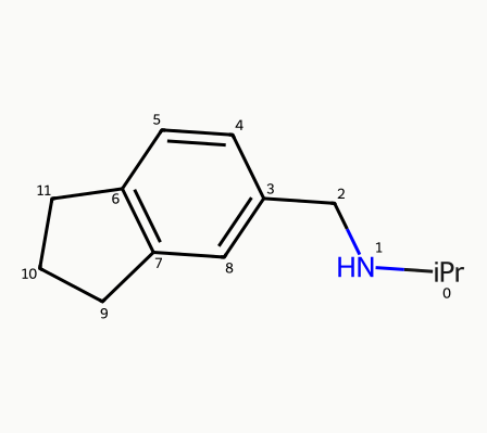 CC(C)NCc1ccc2c(c1)CCC2